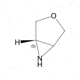 C1OC[C@H]2NC12